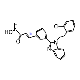 O=C(/C=C/c1cccc(-c2nc3ccccc3n2CCc2ccccc2Cl)c1)NO